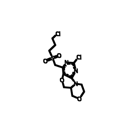 O=S(=O)(CCCCl)Cc1nc(Cl)nc2c1OCC1COCCN21